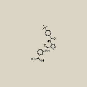 CC(C)(C)c1ccc(C(=O)Nc2ccsc2C(=O)Nc2cccc(C(=N)N)c2)cc1